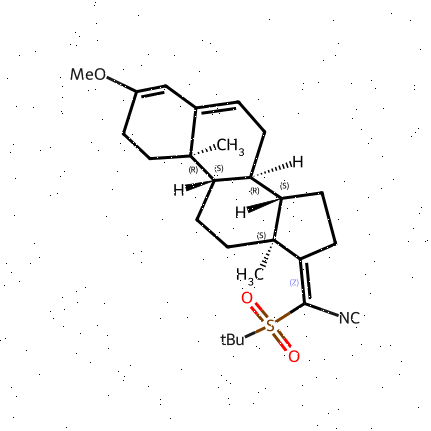 [C-]#[N+]/C(=C1\CC[C@H]2[C@@H]3CC=C4C=C(OC)CC[C@]4(C)[C@H]3CC[C@]12C)S(=O)(=O)C(C)(C)C